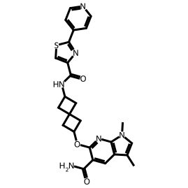 Cc1cn(C)c2nc(OC3CC4(CC(NC(=O)c5csc(-c6ccncc6)n5)C4)C3)c(C(N)=O)cc12